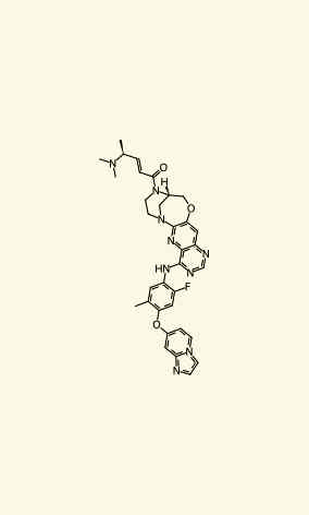 Cc1cc(Nc2ncnc3cc4c(nc23)N2CCN(C(=O)/C=C/[C@H](C)N(C)C)[C@H](CO4)C2)c(F)cc1Oc1ccn2ccnc2c1